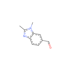 Cc1nc2ccc(C=O)cc2n1C